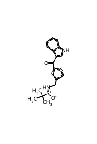 CC(C)(C)[S+]([O-])NCc1csc(C(=O)c2c[nH]c3ccccc23)n1